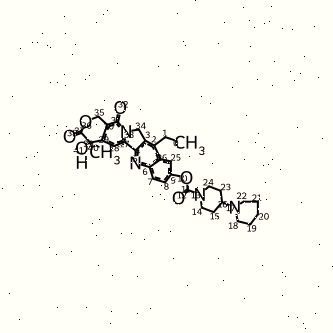 CCc1c2c(nc3ccc(OC(=O)N4CCC(N5CCCCC5)CC4)cc13)-c1cc3c(c(=O)n1C2)COC(=O)[C@@]3(C)O